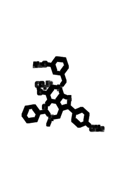 CCOC(=O)Oc1cn(Cc2cccc(OC)c2)c2sc(-c3ccc(OC)cc3)c(CN(C)Cc3ccccc3)c2c1=O